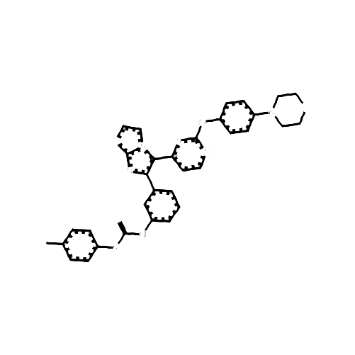 Cc1ccc(NC(=O)Nc2cccc(-c3nc4sccn4c3-c3ccnc(Nc4ccc(N5CCOCC5)cc4)n3)c2)cc1